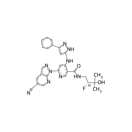 CC(C)(O)[C@H](F)CNC(=O)c1cnc(-n2ncc3cc(C#N)cnc32)cc1Nc1cc(-c2ccccc2)n[nH]1